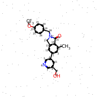 Cc1cc(-c2cncc(CO)c2)cc2c1C(=O)N(Cc1ccc(OC(F)(F)F)cc1)C2